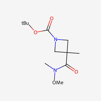 CON(C)C(=O)C1(C)CN(C(=O)OC(C)(C)C)C1